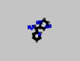 NC(c1ccccn1)C1CNCCN1